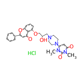 Cl.Cn1c(N2CCN(CC(O)COc3cccc4oc(-c5ccccc5)cc(=O)c34)CC2)cc(=O)n(C)c1=O